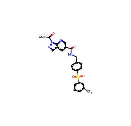 COC(=O)n1ncc2cc(C(=O)NCc3ccc(S(=O)(=O)c4cccc(C(F)(F)F)c4)cc3)cnc21